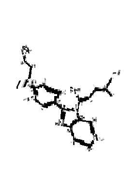 CC/C(=C\C=C(/C)F)n1c(-c2ccc(NCCO)nc2)nc2ccncc21